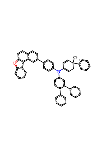 CC1(c2ccccc2)C=CC(N(c2ccc(-c3ccc4ccc5oc6ccccc6c5c4c3)cc2)c2ccc(-c3ccccc3)c(-c3ccccc3)c2)=CC1